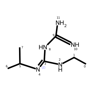 CCN/C(=N/C(C)C)NC(=N)N